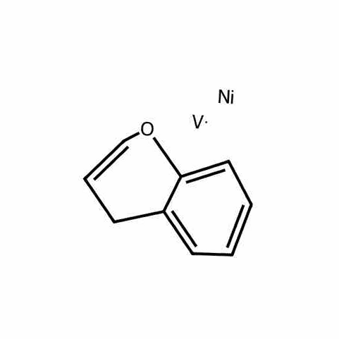 C1=COc2ccccc2C1.[Ni].[V]